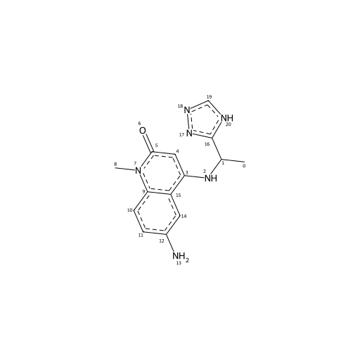 CC(Nc1cc(=O)n(C)c2ccc(N)cc12)c1nnc[nH]1